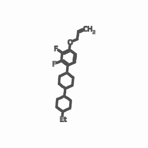 C=CCOc1ccc(C2CCC(C3CCC(CC)CC3)CC2)c(F)c1F